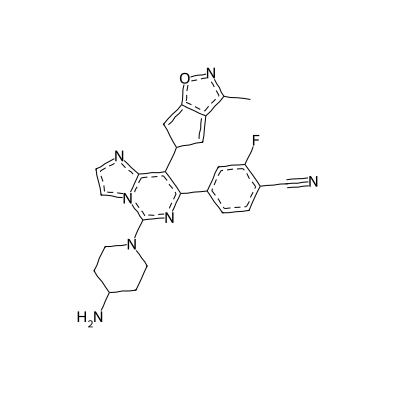 Cc1noc2c1=CC(c1c(-c3ccc(C#N)c(F)c3)nc(N3CCC(N)CC3)n3ccnc13)C=2